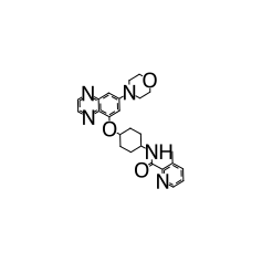 Cc1cccnc1C(=O)NC1CCC(Oc2cc(N3CCOCC3)cc3nccnc23)CC1